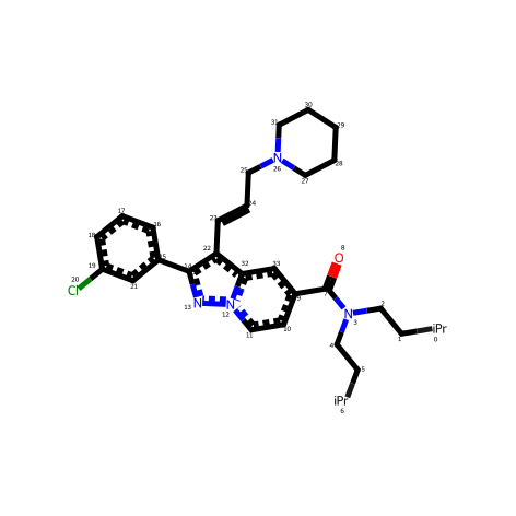 CC(C)CCN(CCC(C)C)C(=O)c1ccn2nc(-c3cccc(Cl)c3)c(C=CCN3CCCCC3)c2c1